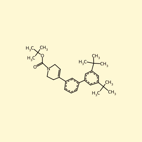 CC(C)(C)OC(=O)N1CC=C(c2cccc(-c3cc(C(C)(C)C)cc(C(C)(C)C)c3)c2)CC1